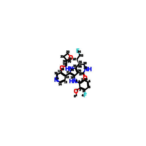 COc1c(F)cccc1Nc1c(-c2ccncc2OC[C@H]2CCO2)[nH]c2c1C(=O)NC[C@H]2CCF